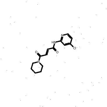 O=C(C=CC(=O)N1CCCCC1)Nc1cc(Cl)ccn1